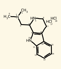 CN(C)CC1NCCc2c1[nH]c1ccccc21.Cl.Cl